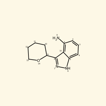 Nc1cccc2[nH]nc(C3CCCCO3)c12